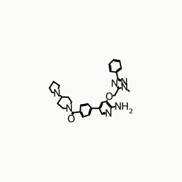 Cn1nc(-c2ccccc2)nc1COc1cc(-c2ccc(C(=O)N3CCC(N4CCCC4)CC3)cc2)cnc1N